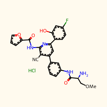 COC[C@H](N)C(=O)Nc1cccc(-c2cc(-c3ccc(F)cc3O)nc(NC(=O)c3ccco3)c2C#N)c1.Cl